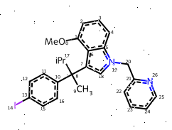 COc1cccc2c1c(C(C)(c1ccc(I)cc1)C(C)C)cn2Cc1ccccn1